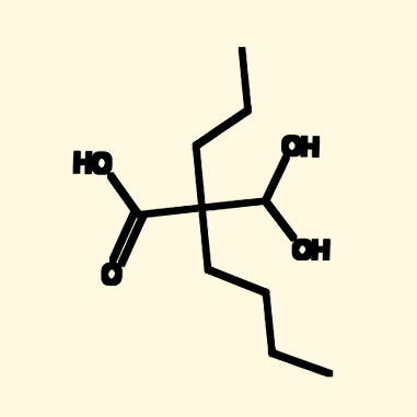 CCCCC(CCC)(C(=O)O)C(O)O